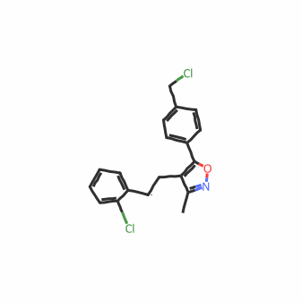 Cc1noc(-c2ccc(CCl)cc2)c1C[CH]c1ccccc1Cl